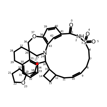 O=C1NS(=O)(=O)CCCC=CCC2CCC2C(OC[C@@H]2CCCO2)N2CC3(CCCc4ccccc43)COc3ccc1cc32